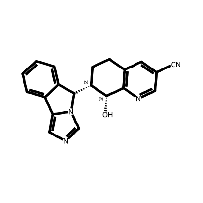 N#Cc1cnc2c(c1)CC[C@@H](C1c3ccccc3-c3cncn31)[C@H]2O